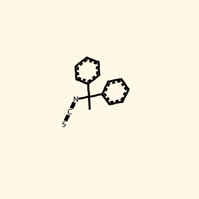 CC(N=C=S)(c1ccccc1)c1ccccc1